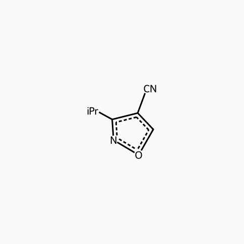 CC(C)c1nocc1C#N